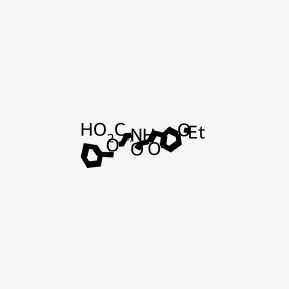 CCOc1ccc2oc(C(=O)N[C@@H](COCc3ccccc3)C(=O)O)cc2c1